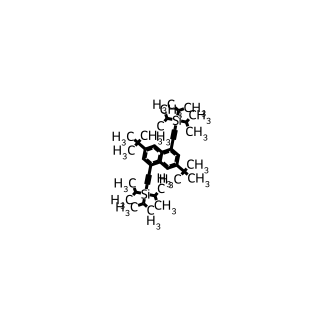 CC(C)[Si](C#Cc1cc(C(C)(C)C)cc2c(C#C[Si](C(C)C)(C(C)C)C(C)C)cc(C(C)(C)C)cc12)(C(C)C)C(C)C